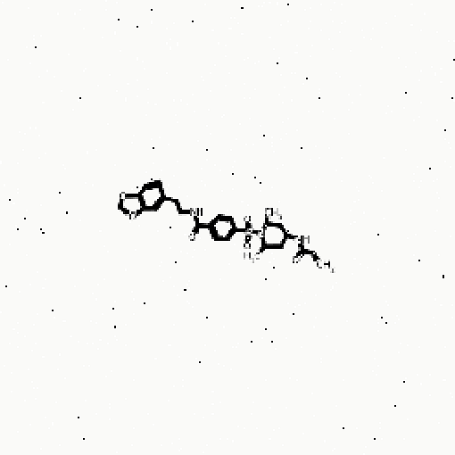 C=CC(=O)NC1CC(C)N(S(=O)(=O)c2ccc(C(=O)NCCc3ccc4c(c3)OCO4)cc2)C(C)C1